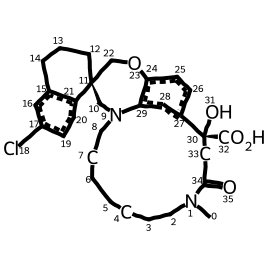 CN1CCCCCCCN2C[C@@]3(CCCc4cc(Cl)ccc43)COc3ccc(cc32)[C@@](O)(C(=O)O)CC1=O